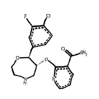 NC(=O)c1cccnc1O[C@@H]1CNCCO[C@H]1c1ccc(Cl)c(F)c1